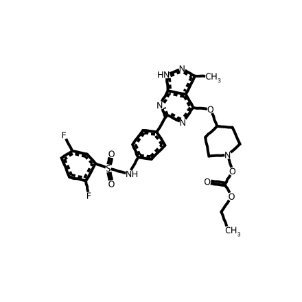 CCOC(=O)ON1CCC(Oc2nc(-c3ccc(NS(=O)(=O)c4cc(F)ccc4F)cc3)nc3[nH]nc(C)c23)CC1